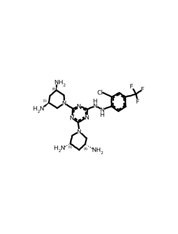 N[C@@H]1C[C@H](N)CN(c2nc(NNc3ccc(C(F)(F)F)cc3Cl)nc(N3C[C@H](N)C[C@H](N)C3)n2)C1